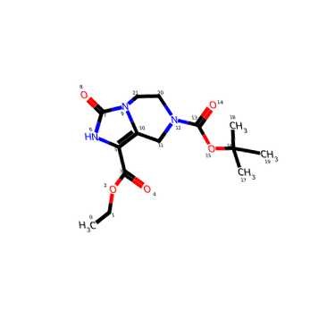 CCOC(=O)c1[nH]c(=O)n2c1CN(C(=O)OC(C)(C)C)CC2